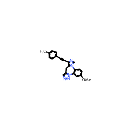 COc1ccc2c(c1)-n1nncc1Cc1c(C#Cc3ccc(C(F)(F)F)cc3)ncn1-2